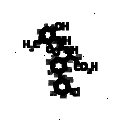 Cn1ccc(O)c(NC(=O)NC(CC(=O)O)c2cccc(-c3cccc(Cl)c3)c2)c1=O